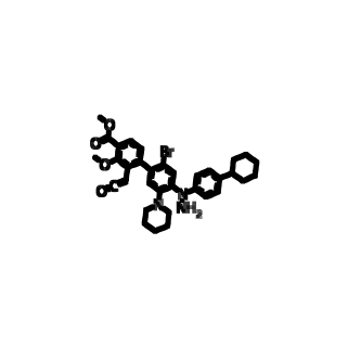 COC(=O)c1ccc(-c2cc(N3CCCCC3)c(N(N)c3ccc(C4CCCCC4)cc3)cc2Br)c(C=C=O)c1OC